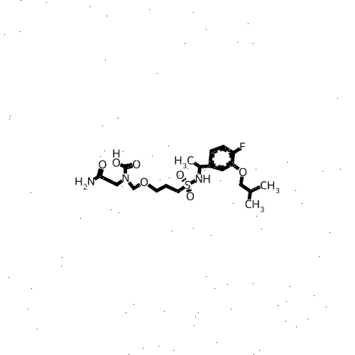 CC(C)COc1cc(C(C)NS(=O)(=O)CCCOCN(CC(N)=O)C(=O)O)ccc1F